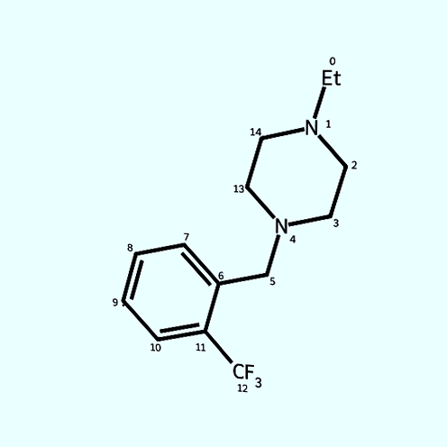 CCN1CCN(Cc2cc[c]cc2C(F)(F)F)CC1